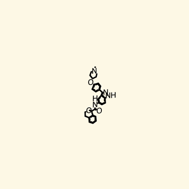 CN1CCC(Oc2ccc(-c3n[nH]c4ccc(NC(=O)C5OCCc6ccccc65)cc34)cc2)CC1